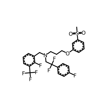 CS(=O)(=O)c1cccc(OCCCN(Cc2cccc(C(F)(F)F)c2F)CC(F)(F)c2ccc(F)cc2)c1